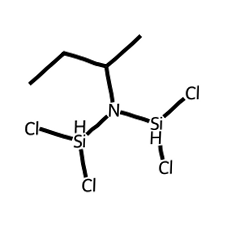 CCC(C)N([SiH](Cl)Cl)[SiH](Cl)Cl